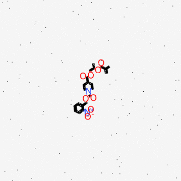 C=C(C)C(=O)OC(C)COC(=O)C1CCN(C(=O)OCc2ccccc2[N+](=O)[O-])CC1